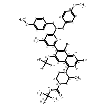 COc1ccc(CN(Cc2ccc(OC)cc2)c2cc(C)cc(-c3c(SC(F)(F)F)cc4c(N5CCN(C(=O)OC(C)(C)C)CC5C)nc(F)nc4c3F)n2)cc1